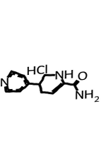 Cl.NC(=O)C1=CCC(c2ccncc2)CN1